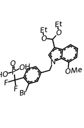 CCOC(OCC)c1cn(Cc2ccc(C(F)(F)P(=O)(O)O)c(Br)c2)c2c(OC)cccc12